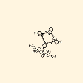 C[C@]12CC[C@@H](O)C[C@H]1CC[C@@H]1[C@@H]2C(=O)C[C@@]2(C)[C@H]1CC[C@]2(O)C(=O)CO.Fc1ccc2c3nc4nc(nc5[nH]c(nc6nc(nc([nH]3)c2c1)-c1ccccc1-6)c1ccc(F)cc51)-c1ccccc1-4